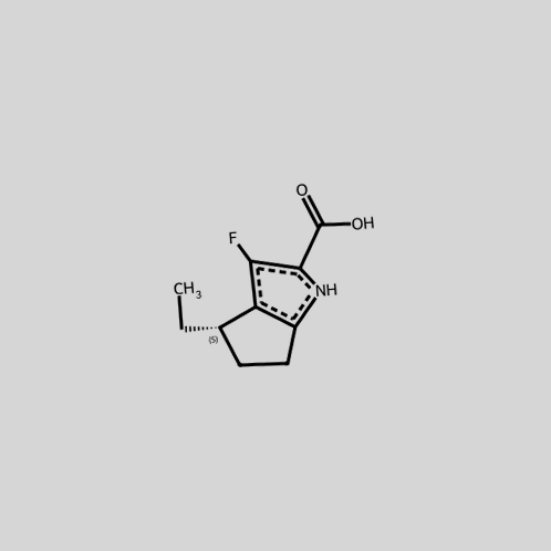 CC[C@H]1CCc2[nH]c(C(=O)O)c(F)c21